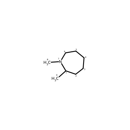 CC1CCCCCN1C